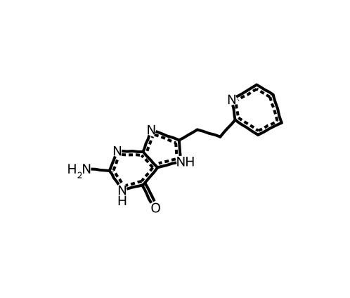 Nc1nc2nc(CCc3ccccn3)[nH]c2c(=O)[nH]1